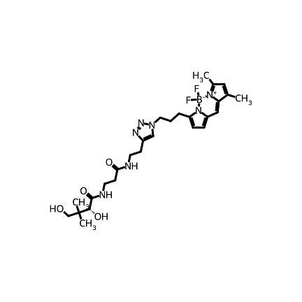 CC1=CC(C)=[N+]2C1=Cc1ccc(CCCn3cc(CCNC(=O)CCNC(=O)[C@H](O)C(C)(C)CO)nn3)n1[B-]2(F)F